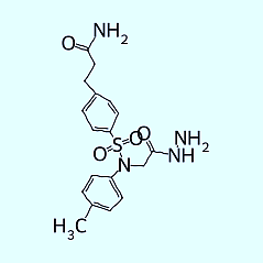 Cc1ccc(N(CC(=O)NN)S(=O)(=O)c2ccc(CCC(N)=O)cc2)cc1